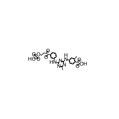 Cc1nc(Nc2cccc(S(=O)(=O)CCOS(=O)(=O)O)c2)nc(Nc2ccc(S(=O)(=O)O)c(C)c2)n1